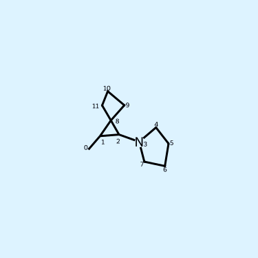 CC1C(N2CCCC2)C12CCC2